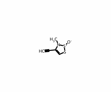 C#CC1=CS[S+]([O-])N1C